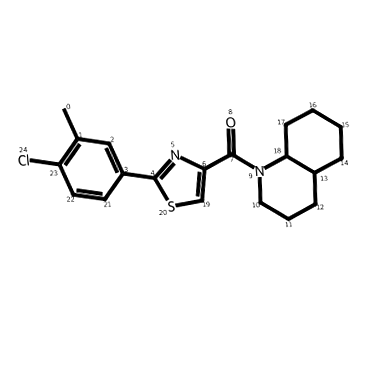 Cc1cc(-c2nc(C(=O)N3CCCC4CCCCC43)cs2)ccc1Cl